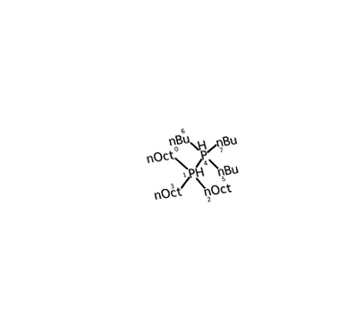 CCCCCCCC[PH](CCCCCCCC)(CCCCCCCC)[PH](CCCC)(CCCC)CCCC